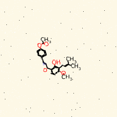 COc1ccc(C(=O)/C=C/c2ccc(OC(C)=O)cc2)c(O)c1CC=C(C)C